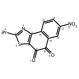 CC(C)c1nc2c(s1)C(=O)C(=O)c1cc([N+](=O)[O-])ccc1-2